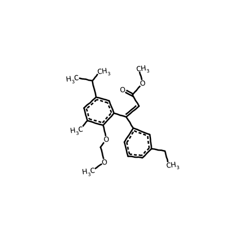 CCc1cccc(C(=CC(=O)OC)c2cc(C(C)C)cc(C)c2OCOC)c1